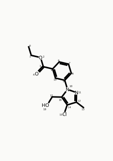 CCOC(=O)c1cccc(-n2nc(C)c(Cl)c2CO)c1